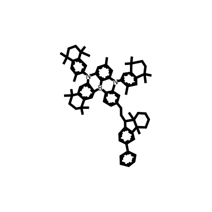 Cc1cc2c3c(c1)N(c1cc4c(cc1C)C(C)(C)CCC4(C)C)c1cc4c(cc1B3c1ccc(CCC3c5ccc(-c6ccccc6)cc5C5(C)CCCCC35C)cc1N2c1cc2c(cc1C)C(C)(C)CCC2(C)C)C(C)(C)CCC4(C)C